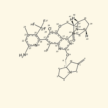 C=C1CN2CCC[C@@]2(COc2nc3c4c(c(Cl)c(-c5nc(N)cc(C)c5C(F)(F)F)c(F)c4n2)OC[C@@H]2[C@@H]4CC[C@H](CN32)N4C=O)C1